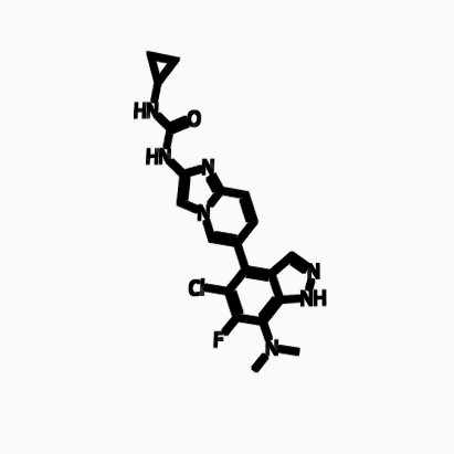 CN(C)c1c(F)c(Cl)c(-c2ccc3nc(NC(=O)NC4CC4)cn3c2)c2cn[nH]c12